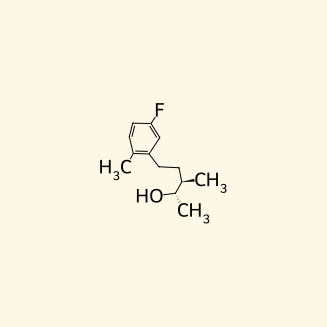 Cc1ccc(F)cc1CC[C@@H](C)[C@H](C)O